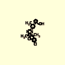 Cc1nn([C@H](C)c2ccc(Cl)cc2Cl)c2nc(N3CC[C@H](N4CCC[C@H]4CO)[C@H](C)C3)cnc12